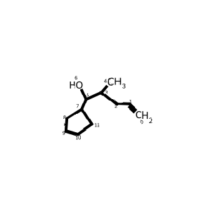 C=CCC(C)C(O)C1CCCC1